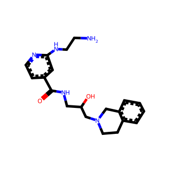 NCCNc1cc(C(=O)NCC(O)CN2CCc3ccccc3C2)ccn1